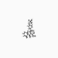 O=C(O)C(=NNc1ccc(OC(F)(F)F)cc1)C(=O)c1c(F)cccc1F